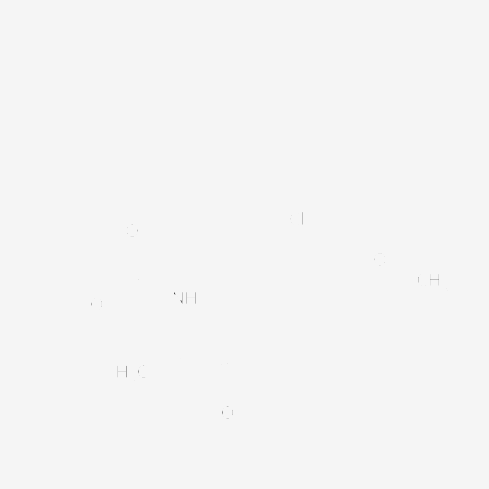 COc1ccc(C(=O)[C@H](C)NC(=O)OCc2ccccc2)cc1Cl